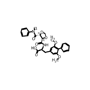 COc1cc(CC(NC(=O)[C@@H]2OCO[C@H]2C(=O)N(Cl)c2ccccc2)C(=O)O)cc(OC)c1-c1ccccc1